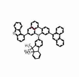 CC1(C)c2cc(N(c3cccc(-c4cccc5oc6ccccc6c45)c3)c3cc(-c4cc5ccccc5c5ccccc45)ccc3-c3ccccc3)ccc2C2C=CC=CC21C